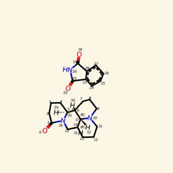 O=C1CCC[C@H]2[C@@H]3CCCN4CCC[C@H](CN12)[C@H]34.O=C1NC(=O)c2ccccc21